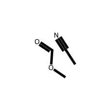 CC#N.COC=O